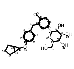 OC[C@H]1O[C@H](c2ccc(Cl)c(Cc3ccc(OC4C5CCCC54)cc3)c2)[C@H](O)[C@@H](O)[C@@H]1O